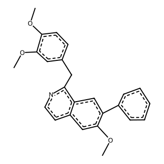 COc1ccc(Cc2nccc3cc(OC)c(-c4ccccc4)cc23)cc1OC